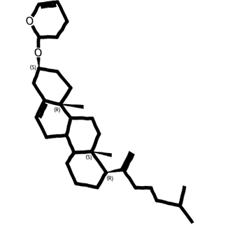 C=C(CCCC(C)C)[C@H]1CCCC2C3CC=C4C[C@@H](OC5CCC=CO5)CC[C@]4(C)C3CC[C@@]21C